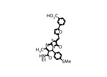 CCNC(=O)C1=C(C)N=c2s/c(=C\c3ccc(-c4cccc(C(=O)O)c4)o3)c(=O)n2C1c1ccc(SC)cc1